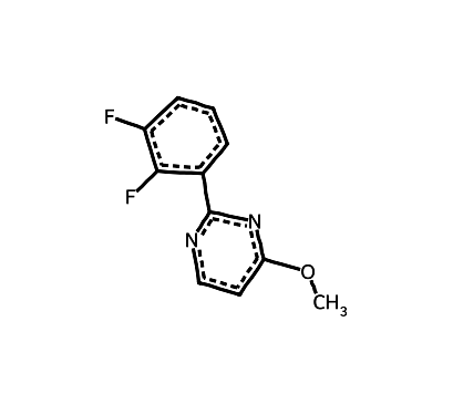 COc1ccnc(-c2cccc(F)c2F)n1